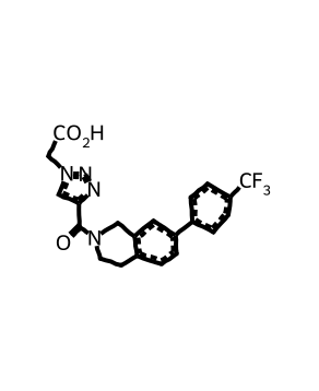 O=C(O)Cn1cc(C(=O)N2CCc3ccc(-c4ccc(C(F)(F)F)cc4)cc3C2)nn1